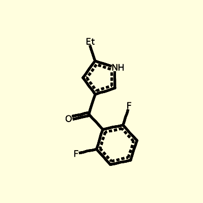 CCc1cc(C(=O)c2c(F)cccc2F)c[nH]1